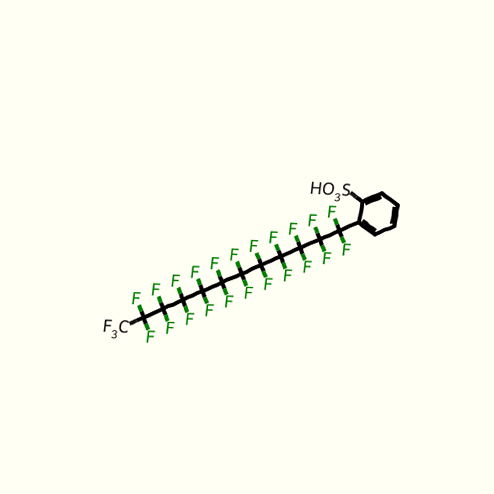 O=S(=O)(O)c1ccccc1C(F)(F)C(F)(F)C(F)(F)C(F)(F)C(F)(F)C(F)(F)C(F)(F)C(F)(F)C(F)(F)C(F)(F)C(F)(F)C(F)(F)F